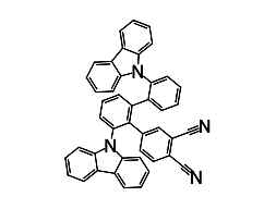 N#Cc1ccc(-c2c(-c3ccccc3-n3c4ccccc4c4ccccc43)cccc2-n2c3ccccc3c3ccccc32)cc1C#N